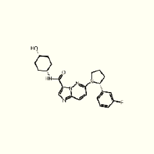 O=C(N[C@H]1CC[C@@H](O)CC1)c1cnc2ccc(N3CCC[C@@H]3c3cccc(F)c3)nn12